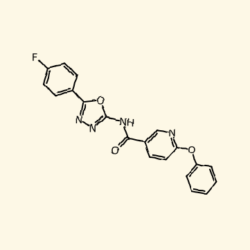 O=C(Nc1nnc(-c2ccc(F)cc2)o1)c1ccc(Oc2ccccc2)nc1